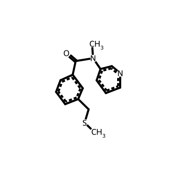 CSCc1cccc(C(=O)N(C)c2cccnc2)c1